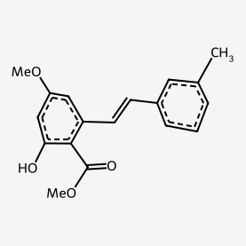 COC(=O)c1c(O)cc(OC)cc1C=Cc1cccc(C)c1